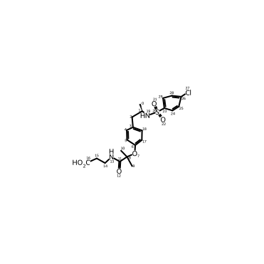 C[C@H](Cc1ccc(OC(C)(C)C(=O)NCCC(=O)O)cc1)NS(=O)(=O)c1ccc(Cl)cc1